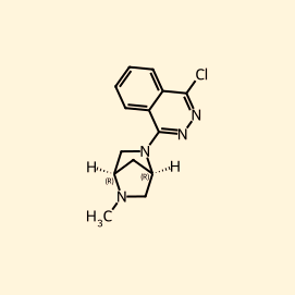 CN1C[C@H]2C[C@@H]1CN2c1nnc(Cl)c2ccccc12